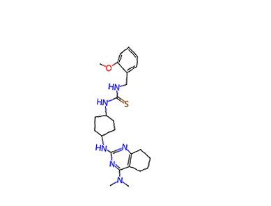 COc1ccccc1CNC(=S)NC1CCC(Nc2nc3c(c(N(C)C)n2)CCCC3)CC1